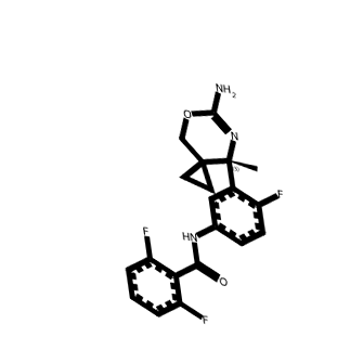 C[C@]1(c2cc(NC(=O)c3c(F)cccc3F)ccc2F)N=C(N)OCC12CC2